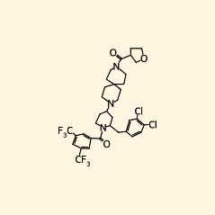 O=C(C1CCOC1)N1CCC2(CC1)CCN(C1CCN(C(=O)c3cc(C(F)(F)F)cc(C(F)(F)F)c3)C(Cc3ccc(Cl)c(Cl)c3)C1)CC2